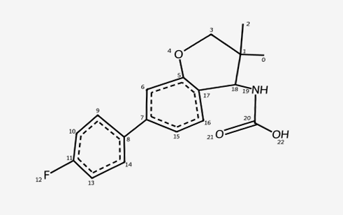 CC1(C)COc2cc(-c3ccc(F)cc3)ccc2C1NC(=O)O